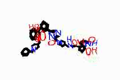 O=C(c1cncc(-c2cccc(C(O)(C(=O)OCC3CCN(Cc4ccccc4)CC3)c3ccccc3)c2)n1)N1CCC(CNCC(O)c2ccc(O)c3[nH]c(=O)ccc23)CC1